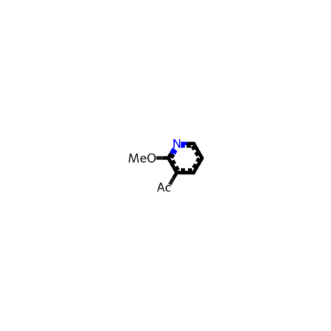 COc1ncccc1C(C)=O